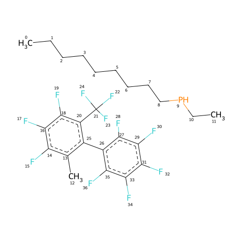 CCCCCCCCCPCC.Cc1c(F)c(F)c(F)c(C(F)(F)F)c1-c1c(F)c(F)c(F)c(F)c1F